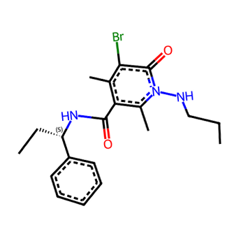 CCCNn1c(C)c(C(=O)N[C@@H](CC)c2ccccc2)c(C)c(Br)c1=O